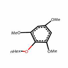 [CH2]CCCCCOc1c(OC)cc(OC)cc1OC